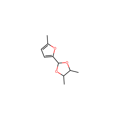 Cc1ccc(C2OC(C)C(C)O2)o1